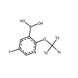 [2H]C([2H])([2H])Oc1ncc(F)cc1B(O)O